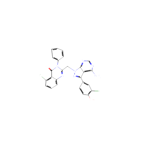 Nc1ncnc2c1c(-c1ccc(O)c(F)c1)nn2Cc1nc2cccc(F)c2c(=O)n1-c1ccccc1